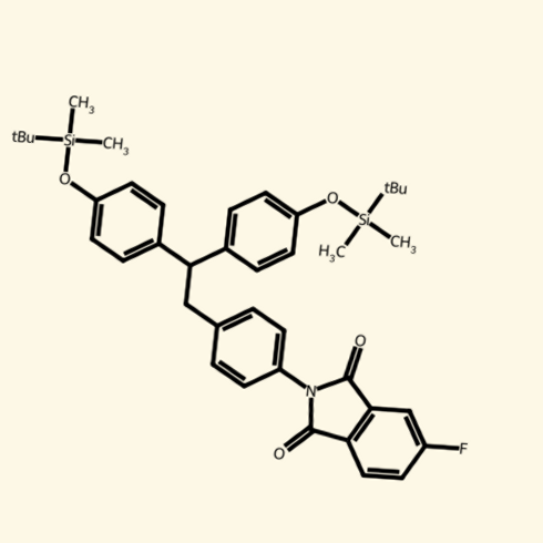 CC(C)(C)[Si](C)(C)Oc1ccc(C(Cc2ccc(N3C(=O)c4ccc(F)cc4C3=O)cc2)c2ccc(O[Si](C)(C)C(C)(C)C)cc2)cc1